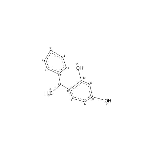 CC(c1ccccc1)c1c[c]c(O)cc1O